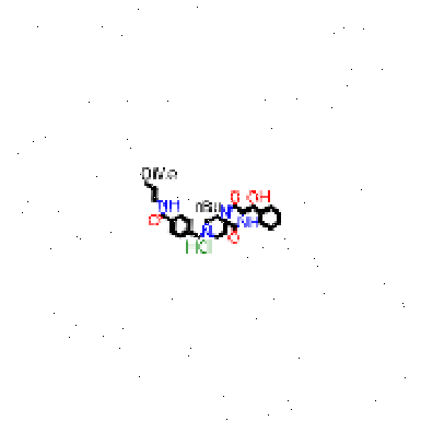 CCCCN1C(=O)[C@@H]([C@H](O)C2CCCCC2)NC(=O)C12CCN(Cc1ccc(C(=O)NCCCOC)cc1)CC2.Cl